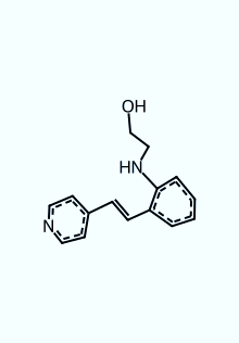 OCCNc1ccccc1/C=C/c1ccncc1